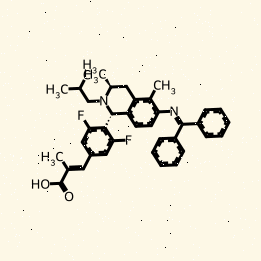 C/C(=C\c1cc(F)c([C@H]2c3ccc(N=C(c4ccccc4)c4ccccc4)c(C)c3C[C@H](C)N2CC(C)C)c(F)c1)C(=O)O